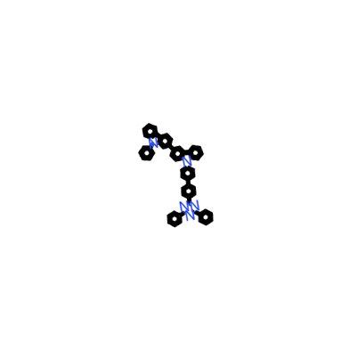 c1ccc(-c2nc(-c3ccccc3)nc(-c3ccc(-c4ccc(-n5c6ccccc6c6cc(-c7ccc8c9ccccc9n(-c9ccccc9)c8c7)ccc65)cc4)cc3)n2)cc1